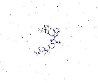 Cn1c(-c2cc3cccnc3n2CC2CC(C)(C)C2)nc2cc(C(=O)N3CCC[C@@H](N)C3)ccc21